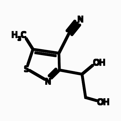 Cc1snc(C(O)CO)c1C#N